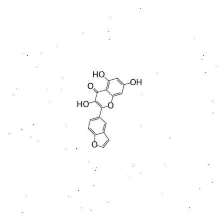 O=c1c(O)c(-c2ccc3occc3c2)oc2cc(O)cc(O)c12